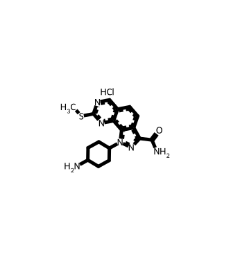 CSc1ncc2ccc3c(C(N)=O)nn(C4CCC(N)CC4)c3c2n1.Cl